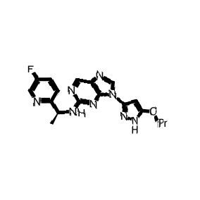 CC(C)Oc1cc(-n2cnc3cnc(N[C@@H](C)c4ccc(F)cn4)nc32)n[nH]1